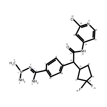 CN(N)/N=C(\N)c1ccc(C(C(=O)Nc2ccnc(Cl)c2)C2CCC(F)(F)C2)cc1